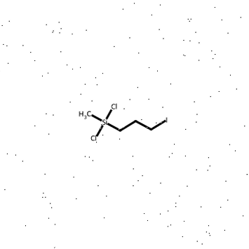 C[Si](Cl)(Cl)CCCI